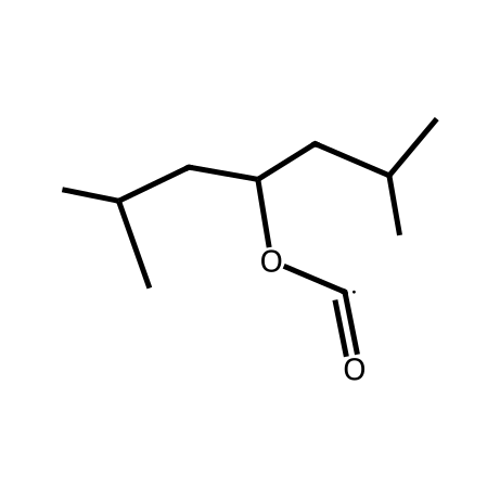 CC(C)CC(CC(C)C)O[C]=O